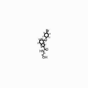 O=C(NCCO)c1cc2c(Oc3ccc(Br)cc3)nccc2s1